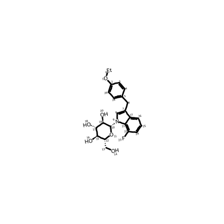 CCOc1ccc(Cc2cn([C@@H]3O[C@H](CO)[C@@H](O)[C@H](O)[C@H]3O)c3c(F)cccc23)cc1